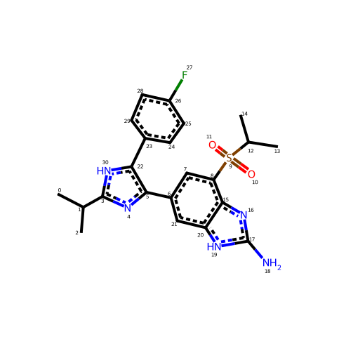 CC(C)c1nc(-c2cc(S(=O)(=O)C(C)C)c3nc(N)[nH]c3c2)c(-c2ccc(F)cc2)[nH]1